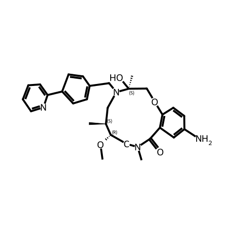 CO[C@H]1CN(C)C(=O)c2cc(N)ccc2OC[C@](C)(O)N(Cc2ccc(-c3ccccn3)cc2)C[C@@H]1C